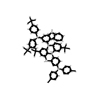 Cc1ccc(N(c2ccc(C)cc2)c2ccc3c(c2)Oc2cc(C(C)(C)C)cc4c2B3c2cc(C(C)(C)C)ccc2N4c2cc(N(c3ccc(C(C)(C)C)cc3)c3ccc(C(C)(C)C)cc3)cc3sc4ccccc4c23)cc1